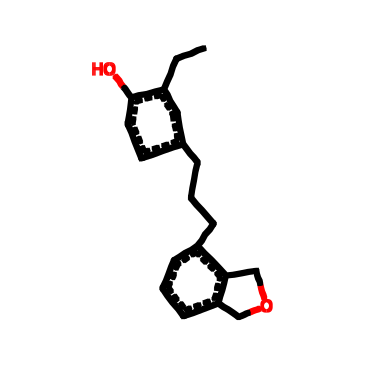 CCc1cc(CCCc2cccc3c2COC3)ccc1O